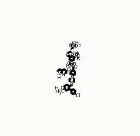 CC1(C)CCC(CN2CCN(c3ccc(C(=O)NS(=O)(=O)c4cc5c(c([N+](=O)[O-])c4)N[C@@H](CCS(C)(=O)=O)CO5)c(Oc4cnc5[nH]ccc5c4)c3)CC2)=C(c2ccc(Cl)cc2)C1